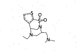 CCN1CC(CN(C)C)N2CC1c1ccsc1S2(=O)=O